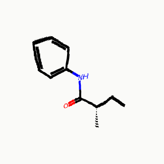 CC[C@H](C)C(=O)Nc1ccccc1